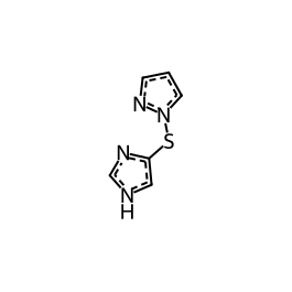 c1cnn(Sc2c[nH]cn2)c1